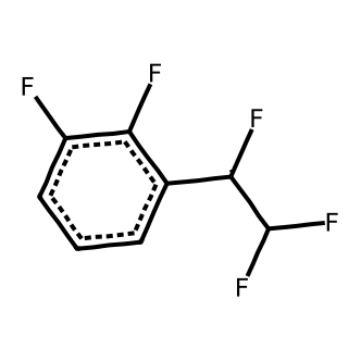 F[C](c1cccc(F)c1F)C(F)F